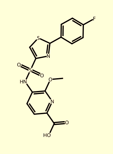 COc1nc(C(=O)O)ccc1NS(=O)(=O)c1csc(-c2ccc(F)cc2)n1